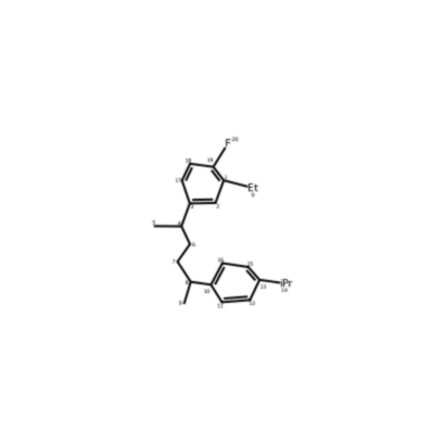 CCc1cc(C(C)CCC(C)c2ccc(C(C)C)cc2)ccc1F